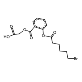 O=C(O)COC(=O)c1ccccc1OC(=O)CCCCCBr